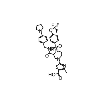 Cc1nc(N2CCN(S(=O)(=O)c3ccc(OC(F)(F)F)cc3)C(C(=O)NCc3ccc(N4CCCC4)cc3)C2)sc1C(=O)O